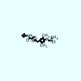 CCN(C)C=Nc1cc(C)c(Cc2nc(C(=O)NC3CCC3)cs2)cc1C